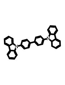 C1=CCC2C(=C1)c1ccccc1N2c1ccc(-c2ccc(-n3c4ccccc4c4ccccc43)cc2)cc1